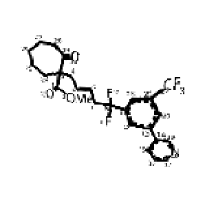 COC(=O)C1(C/C=C/CC(F)(F)c2cc(-c3cccnc3)cc(C(F)(F)F)c2)CCCCCC1=O